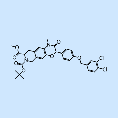 COC(=O)[C@@H]1Cc2cc3c(cc2CN1C(=O)OC(C)(C)C)O[C@H](c1ccc(OCc2ccc(Cl)c(Cl)c2)cc1)C(=O)N3C